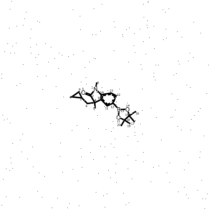 CN1C(=O)C(C)(CC2CC2)c2cc(B3OC(C)(C)C(C)(C)O3)ccc21